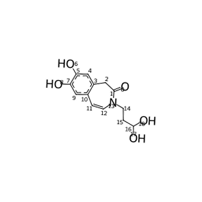 O=C1Cc2cc(O)c(O)cc2C=CN1CCC(O)O